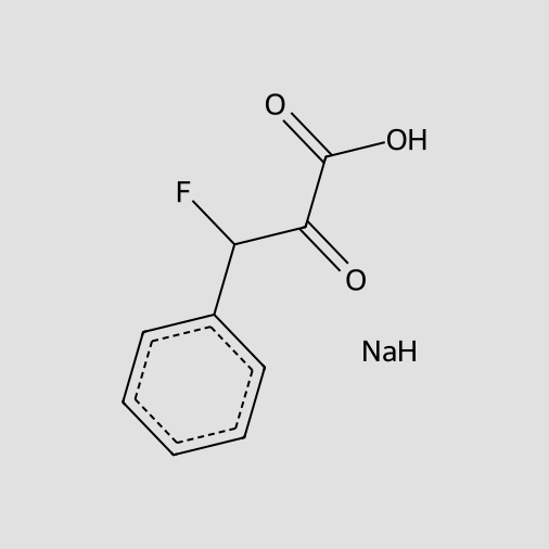 O=C(O)C(=O)C(F)c1ccccc1.[NaH]